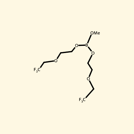 COB(OCCOCC(F)(F)F)OCCOCC(F)(F)F